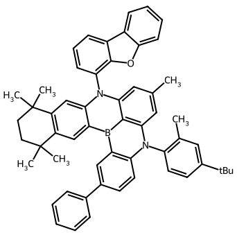 Cc1cc2c3c(c1)N(c1cccc4c1oc1ccccc14)c1cc4c(cc1B3c1cc(-c3ccccc3)ccc1N2c1ccc(C(C)(C)C)cc1C)C(C)(C)CCC4(C)C